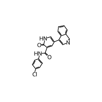 O=C(Nc1ccc(Cl)cc1)c1cc(-c2cncc3ccccc23)c[nH]c1=O